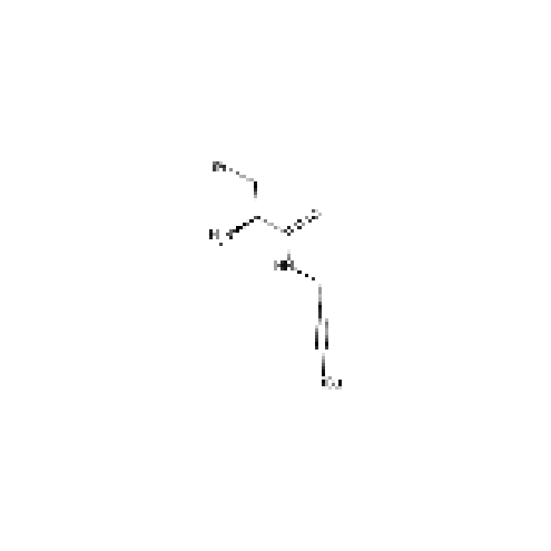 CC(C)C[C@H](N)C(=O)NCC#CC(C)(C)C